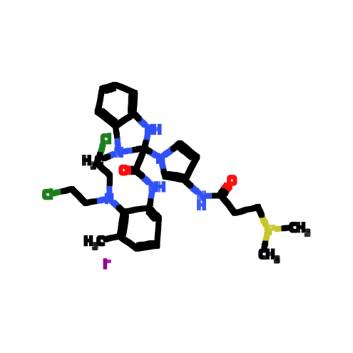 Cc1cccc(NC(=O)C2(n3ccc(NC(=O)CC[S+](C)C)c3)Nc3ccccc3N2C)c1N(CCCl)CCCl.[I-]